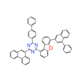 c1ccc(-c2ccc(-c3nc(-c4cc5ccccc5c5ccccc45)nc(-c4cccc5oc6c(-c7cc(-c8ccccc8)c8ccccc8c7)cccc6c45)n3)cc2)cc1